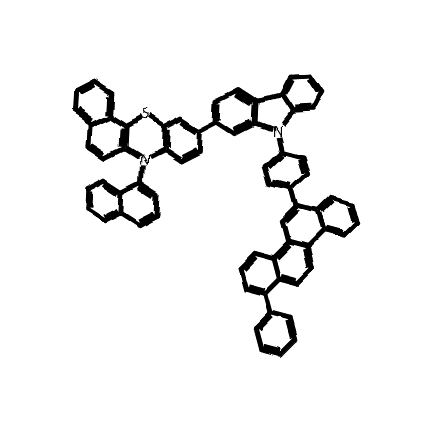 c1ccc(-c2cccc3c2ccc2c4ccccc4c(-c4ccc(-n5c6ccccc6c6ccc(-c7ccc8c(c7)Sc7c(ccc9ccccc79)N8c7cccc8ccccc78)cc65)cc4)cc32)cc1